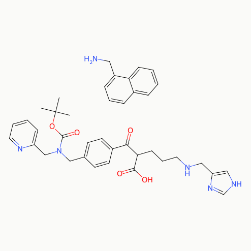 CC(C)(C)OC(=O)N(Cc1ccc(C(=O)C(CCCNCc2c[nH]cn2)C(=O)O)cc1)Cc1ccccn1.NCc1cccc2ccccc12